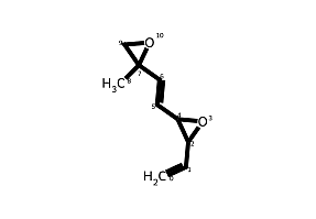 C=CC1OC1C=CC1(C)CO1